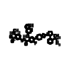 CNc1ccc(SNC(=O)c2cc(F)c(N3CCC4(CC3)CC(N3CCCC3c3ccccc3C(C)C)C4)cc2Oc2cnc3[nH]ccc3c2)cc1[N+](=O)[O-]